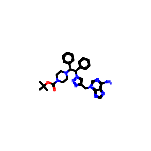 CC(C)(C)OC(=O)N1CCN([C@@H](c2ccccc2)[C@@H](c2ccccc2)n2cc(Cn3cnc(N)c4ncnc3-4)nn2)CC1